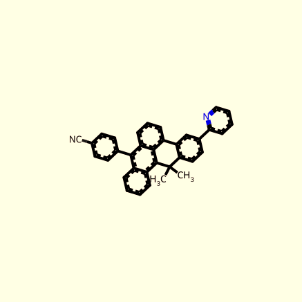 CC1(C)c2ccc(-c3ccccn3)cc2-c2cccc3c(-c4ccc(C#N)cc4)c4ccccc4c1c23